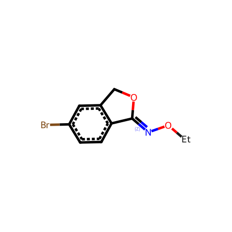 CCO/N=C1\OCc2cc(Br)ccc21